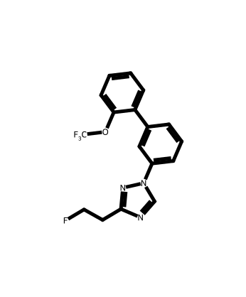 FCCc1ncn(-c2cccc(-c3ccccc3OC(F)(F)F)c2)n1